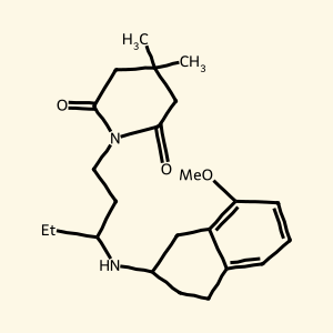 CCC(CCN1C(=O)CC(C)(C)CC1=O)NC1CCc2cccc(OC)c2C1